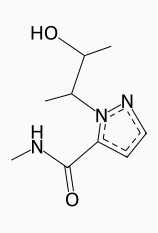 CNC(=O)c1ccnn1C(C)C(C)O